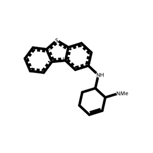 CNC1C=CCCC1Nc1ccc2sc3ccccc3c2c1